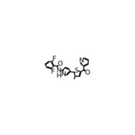 CC1C=C(C(=O)c2cccnc2)SC1c1ccc(NC(=O)c2c(F)cccc2F)nc1